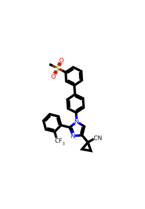 CS(=O)(=O)c1cccc(-c2ccc(-n3cc(C4(C#N)CC4)nc3-c3ccccc3C(F)(F)F)cc2)c1